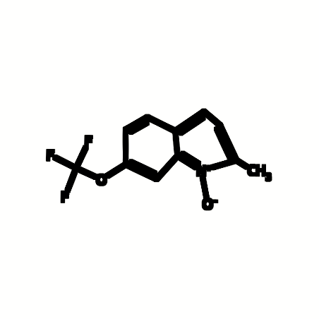 Cc1ccc2ccc(OC(F)(F)F)cc2[n+]1[O-]